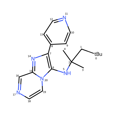 CC(C)(C)CC(C)(C)Nc1c(-c2ccncc2)nc2cnccn12